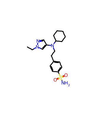 CCn1cc(N(CCc2ccc(S(N)(=O)=O)cc2)C2CCCCC2)cn1